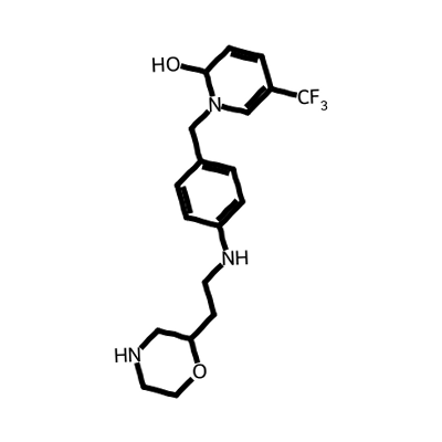 OC1C=CC(C(F)(F)F)=CN1Cc1ccc(NCCC2CNCCO2)cc1